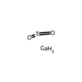 [GaH3].[O]=[Ti]=[O]